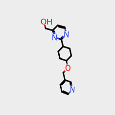 OCc1ccnc(C2CCC(OCc3cccnc3)CC2)n1